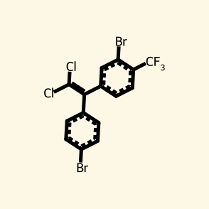 FC(F)(F)c1ccc(C(=C(Cl)Cl)c2ccc(Br)cc2)cc1Br